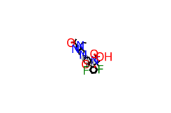 CCn1c(C(C)=O)nc2c1CN([C@H]1CO[C@H](c3cc(F)ccc3F)[C@@H](N(C(=O)O)C(C)(C)C)C1)C2